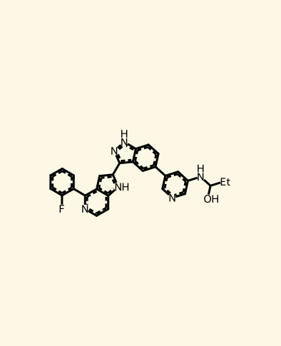 CCC(O)Nc1cncc(-c2ccc3[nH]nc(-c4cc5c(-c6ccccc6F)nccc5[nH]4)c3c2)c1